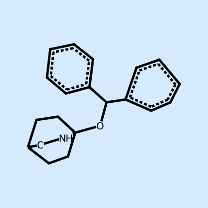 c1ccc(C(OC23CCC(CC2)CN3)c2ccccc2)cc1